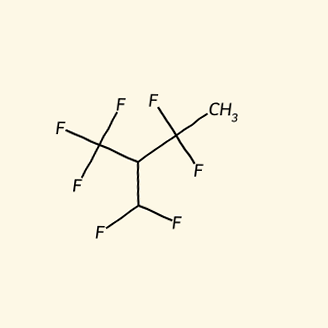 CC(F)(F)C(C(F)F)C(F)(F)F